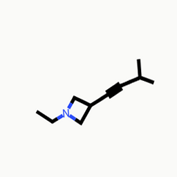 CCN1CC(C#CC(C)C)C1